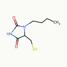 CCCCN1C(=O)NC(=O)C1CS